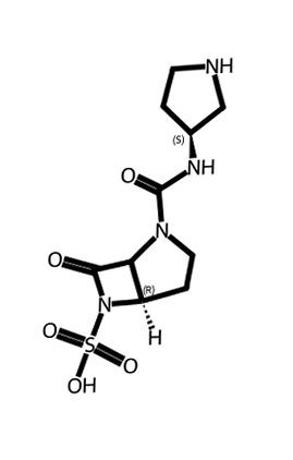 O=C(N[C@H]1CCNC1)N1CC[C@@H]2C1C(=O)N2S(=O)(=O)O